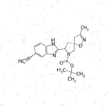 C#Cc1ccc2[nH]c(C3C[C@@]4(CC(C)=NO4)CN3C(=O)OC(C)(C)C)nc2c1